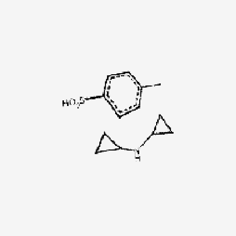 C1CC1NC1CC1.Cc1ccc(S(=O)(=O)O)cc1